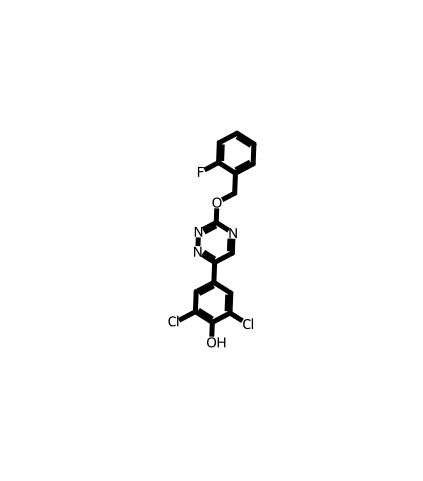 Oc1c(Cl)cc(-c2cnc(OCc3ccccc3F)nn2)cc1Cl